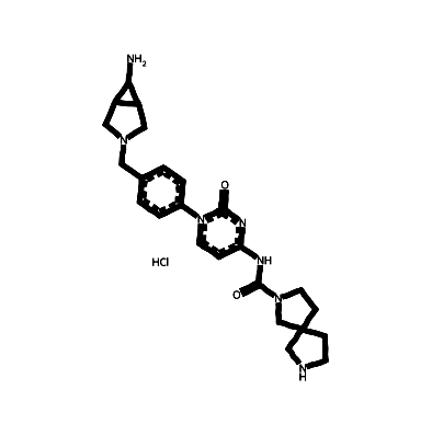 Cl.NC1C2CN(Cc3ccc(-n4ccc(NC(=O)N5CCC6(CCNC6)C5)nc4=O)cc3)CC12